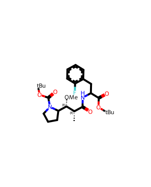 CO[C@@H](C1CCCN1C(=O)OC(C)(C)C)[C@@H](C)C(=O)NC(Cc1ccccc1F)C(=O)OC(C)(C)C